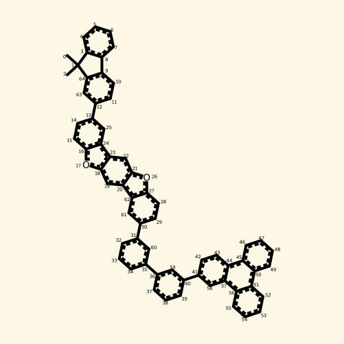 CC1(C)c2ccccc2-c2ccc(-c3ccc4oc5cc6c(cc5c4c3)oc3ccc(-c4cccc(-c5cccc(-c7ccc8c9ccccc9c9ccccc9c8c7)c5)c4)cc36)cc21